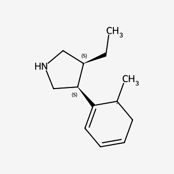 CC[C@@H]1CNC[C@@H]1C1=CC=CC[C]1C